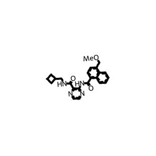 COCc1ccc(C(=O)Nc2nccnc2C(=O)NCC2CCC2)c2ccccc12